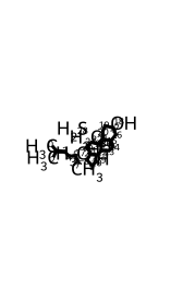 CC(C)CCCC(C)[C@H]1CC[C@H]2[C@@H]3CC=C4C[C@@H](O)CC[C@]4(C)[C@H]3CC[C@]12C.S